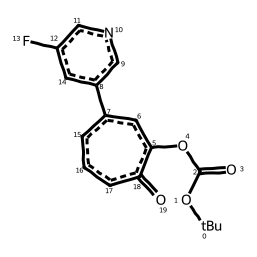 CC(C)(C)OC(=O)Oc1cc(-c2cncc(F)c2)cccc1=O